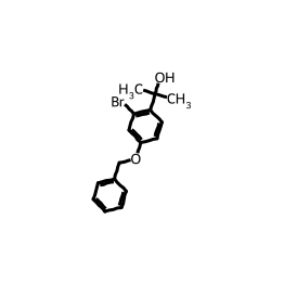 CC(C)(O)c1ccc(OCc2ccccc2)cc1Br